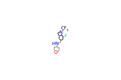 Fc1cc(CNC2CCOCC2)cc2ccn(CC(F)(F)F)c12